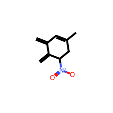 C=C1C=C(C)CC([N+](=O)[O-])C1=C